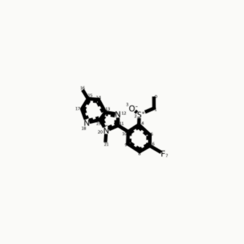 CC[S+]([O-])c1cc(F)ccc1-c1nc2cc(C)cnc2n1C